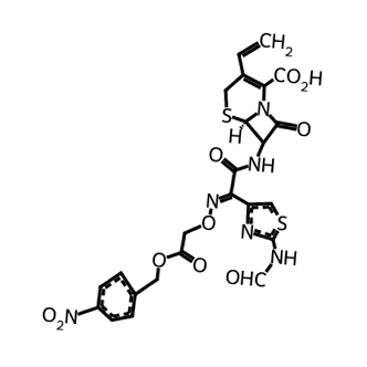 C=CC1=C(C(=O)O)N2C(=O)C(NC(=O)/C(=N/OCC(=O)OCc3ccc([N+](=O)[O-])cc3)c3csc(NC=O)n3)[C@H]2SC1